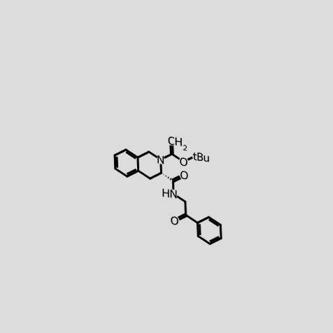 C=C(OC(C)(C)C)N1Cc2ccccc2C[C@H]1C(=O)NCC(=O)c1ccccc1